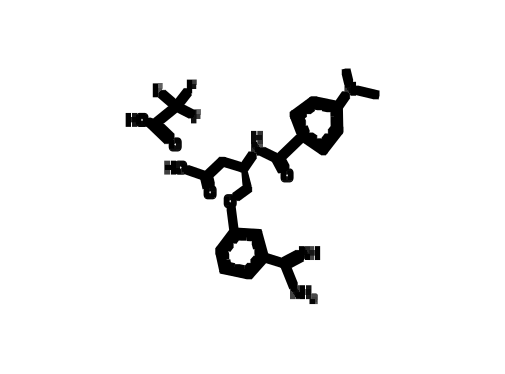 CN(C)c1ccc(C(=O)N[C@@H](COc2cccc(C(=N)N)c2)CC(=O)O)cc1.O=C(O)C(F)(F)F